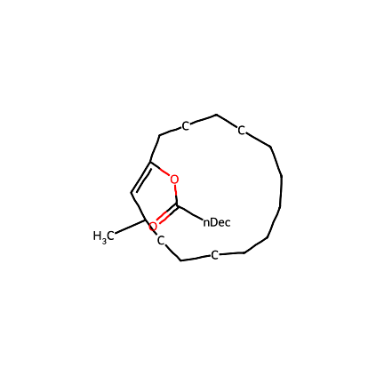 CCCCCCCCCCC(=O)O/C1=C\C(C)CCCCCCCCCCCC1